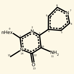 CCCCCCc1nc(-c2ccncc2)c(N)c(=O)n1C